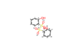 O=S(=O)(c1ccccc1O)S(=O)(=O)c1ccccc1O